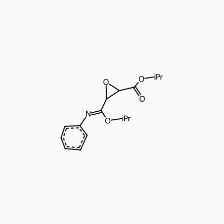 CC(C)OC(=O)C1OC1C(=Nc1ccccc1)OC(C)C